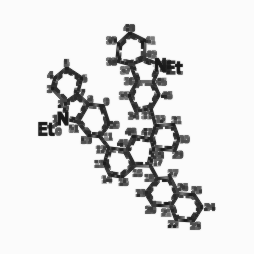 CCn1c2ccccc2c2ccc(-c3cccc4c(-c5ccc6ccccc6c5)c5cccc(-c6ccc7c8ccccc8n(CC)c7c6)c5cc34)cc21